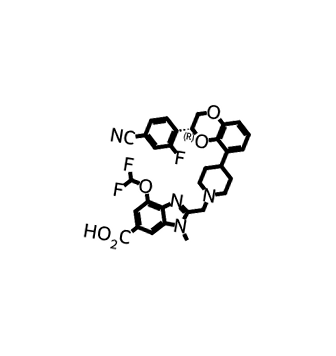 Cn1c(CN2CCC(c3cccc4c3O[C@H](c3ccc(C#N)cc3F)CO4)CC2)nc2c(OC(F)F)cc(C(=O)O)cc21